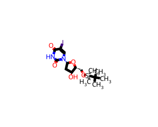 CC(C)(C)[Si](C)(C)OC[C@H]1O[C@@H](n2cc(I)c(=O)[nH]c2=O)C[C@H]1O